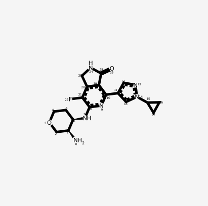 N[C@H]1COCC[C@H]1Nc1nc(-c2cnn(C3CC3)c2)c2c(c1F)CNC2=O